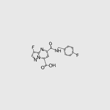 O=C(NCc1ccc(F)cc1)c1cc(C(=O)O)n2ncc(F)c2n1